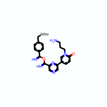 CNCc1ccc(C(=N)OC(=N)c2cncc(-c3ccc(=O)n(CCCN)c3)n2)cc1